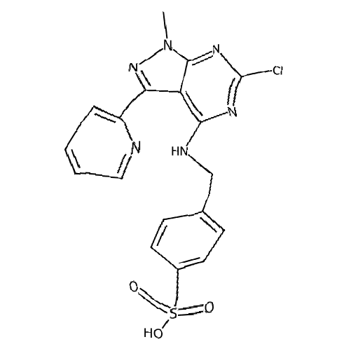 Cn1nc(-c2ccccn2)c2c(NCc3ccc(S(=O)(=O)O)cc3)nc(Cl)nc21